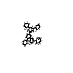 c1ccc(-c2cc(-c3ccccc3)nc(-c3ccc(C4(c5ccc(-c6ccccn6)cc5)CCCCC4)cc3)n2)cc1